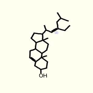 CC/C(=C/C(C)C1CCC2C3CC=C4CC(O)CCC4(C)C3CCC12C)CC(C)C